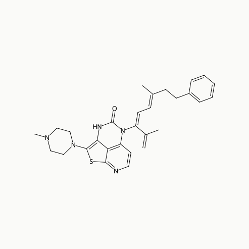 C=C(C)/C(=C\C=C(/C)CCc1ccccc1)N1C(=O)Nc2c(N3CCN(C)CC3)sc3nccc1c23